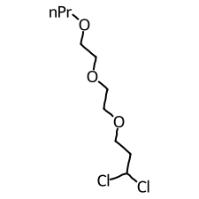 CCCOCCOCCOCCC(Cl)Cl